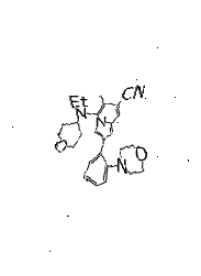 CCN(c1c(C)c(C#N)cc2cc(-c3ccccc3N3CCOCC3)cn12)C1CCOCC1